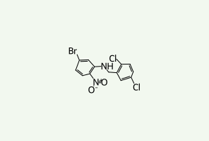 O=[N+]([O-])c1ccc(Br)cc1NCc1cc(Cl)ccc1Cl